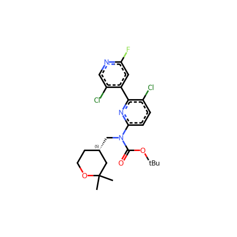 CC(C)(C)OC(=O)N(C[C@H]1CCOC(C)(C)C1)c1ccc(Cl)c(-c2cc(F)ncc2Cl)n1